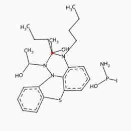 CCCCN(CCCC)c1cccc2c1N(N(C(C)O)C(C)O)c1ccccc1S2.NP(O)I